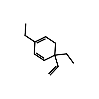 C=CC1(CC)C=CC(CC)=CC1